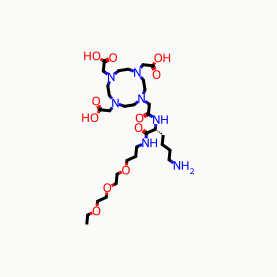 CCOCCOCCOCCCNC(=O)[C@@H](CCCCN)NC(=O)CN1CCN(CC(=O)O)CCN(CC(=O)O)CCN(CC(=O)O)CC1